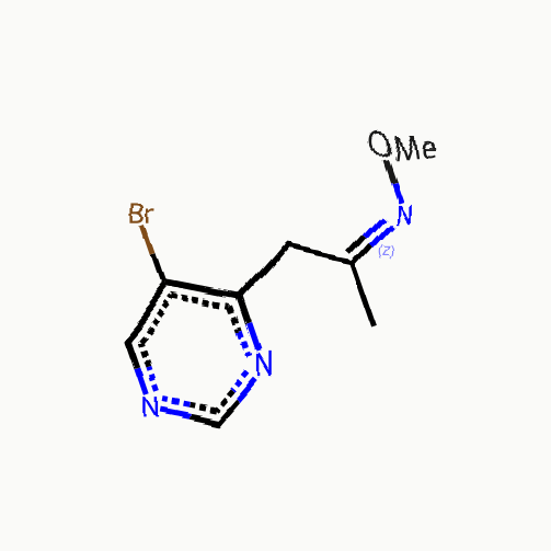 CO/N=C(/C)Cc1ncncc1Br